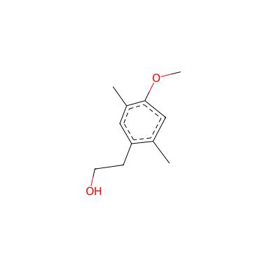 COc1cc(C)c(CCO)cc1C